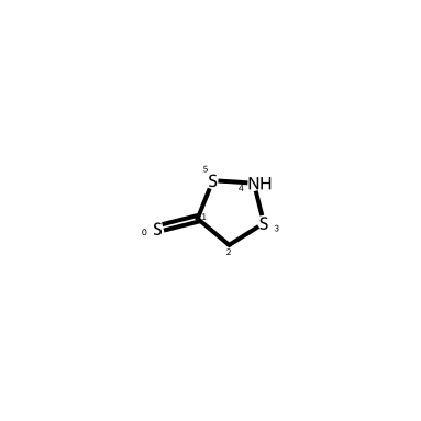 S=C1CSNS1